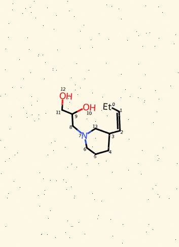 CC/C=C\C1CCCN(CC(O)CO)C1